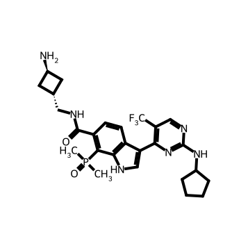 CP(C)(=O)c1c(C(=O)NC[C@H]2C[C@H](N)C2)ccc2c(-c3nc(NC4CCCC4)ncc3C(F)(F)F)c[nH]c12